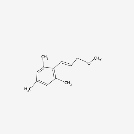 [CH2]OCC=Cc1c(C)cc(C)cc1C